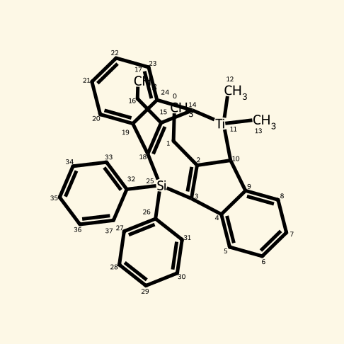 CCC1=C2c3ccccc3[CH]1[Ti]([CH3])([CH3])[CH]1C(CC)=C(c3ccccc31)[Si]2(c1ccccc1)c1ccccc1